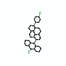 Fc1ccc(-c2ccc3ccc4c(-c5c6ccccc6c(F)c6ccccc56)ccc5ccc2c3c54)cc1